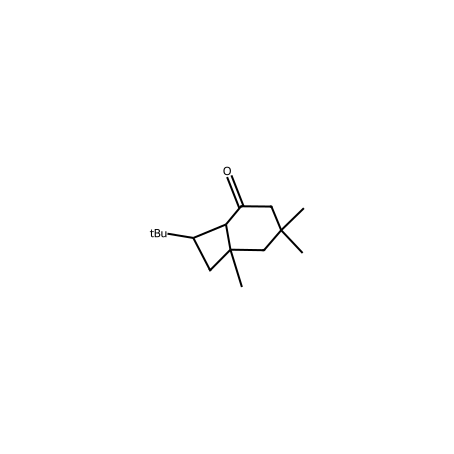 CC1(C)CC(=O)C2C(C(C)(C)C)CC2(C)C1